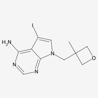 CC1(Cn2cc(I)c3c(N)ncnc32)COC1